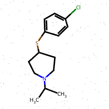 CC(C)N1CCC(Sc2ccc(Cl)cc2)CC1